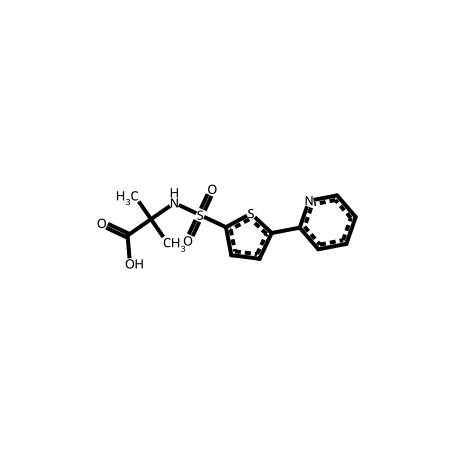 CC(C)(NS(=O)(=O)c1ccc(-c2ccccn2)s1)C(=O)O